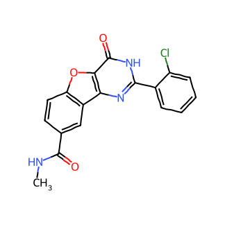 CNC(=O)c1ccc2oc3c(=O)[nH]c(-c4ccccc4Cl)nc3c2c1